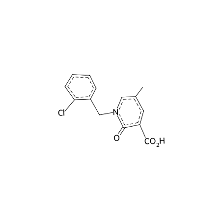 Cc1cc(C(=O)O)c(=O)n(Cc2ccccc2Cl)c1